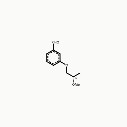 CO[C@@H](C)COc1cccc(C=O)c1